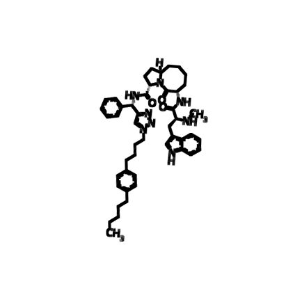 CCCCCc1ccc(CCCCn2cc([C@@H](NC(=O)[C@@H]3CC[C@@H]4CCCC[C@H](NC(=O)[C@H](Cc5c[nH]c6ccccc56)NC)C(=O)N43)c3ccccc3)nn2)cc1